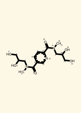 CN(CC(O)CO)C(=O)c1ccc(C(=O)N(C)CC(O)CO)nc1